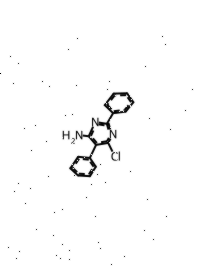 Nc1nc(-c2ccccc2)nc(Cl)c1-c1ccccc1